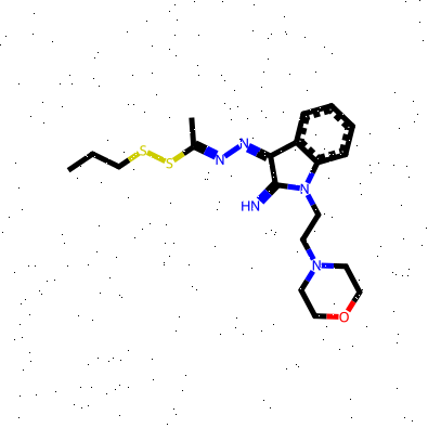 CCCSS/C(C)=N/N=C1\C(=N)N(CCN2CCOCC2)c2ccccc21